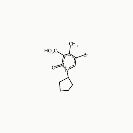 Cc1c(Br)cn(C2CCCC2)c(=O)c1C(=O)O